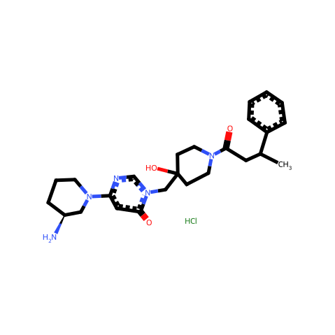 CC(CC(=O)N1CCC(O)(Cn2cnc(N3CCC[C@H](N)C3)cc2=O)CC1)c1ccccc1.Cl